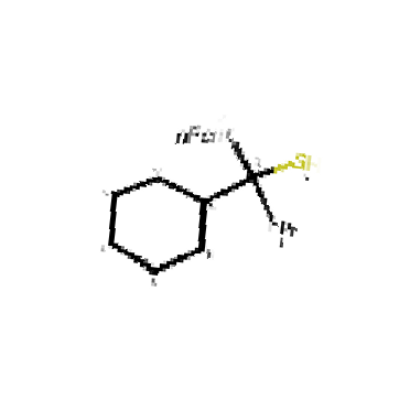 CCCCCC(S)(CCC)C1CCCCC1